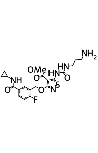 COC(=O)c1c(OCc2cc(C(=O)NC3CC3)ccc2F)nsc1NC(=O)NCCCN